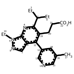 CCC(CC)c1nc2c(cnn2CC)c(-c2cncc(C)c2)c1CCC(=O)O